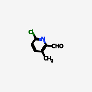 Cc1ccc(Cl)nc1C=O